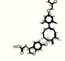 C=C1/C(F)=C\C=C(\c2c(C)cc(OCC3CCCO3)cc2C)CCC[C@H]1Oc1ccc2c(c1)OC[C@H]2CC(=O)O